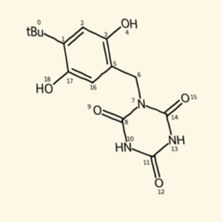 CC(C)(C)c1cc(O)c(Cn2c(=O)[nH]c(=O)[nH]c2=O)cc1O